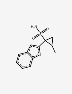 CC1CC1(c1cc2ccccc2s1)S(N)(=O)=O